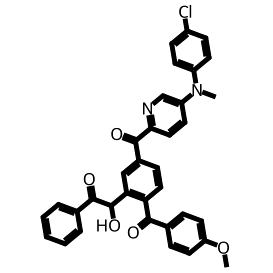 COc1ccc(C(=O)c2ccc(C(=O)c3ccc(N(C)c4ccc(Cl)cc4)cn3)cc2C(O)C(=O)c2ccccc2)cc1